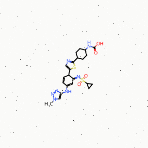 Cn1cc(NC2=CC(=NS(=O)(=O)C3CC3)C(c3cnc(C4CCC(NC(=O)O)CC4)s3)C=C2)nn1